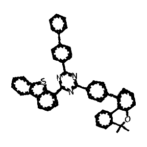 CC1(C)Oc2cccc(-c3ccc(-c4nc(-c5ccc(-c6ccccc6)cc5)nc(-c5cccc6c5sc5ccccc56)n4)cc3)c2-c2ccccc21